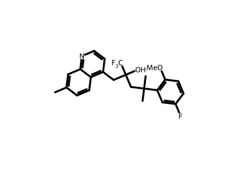 COc1ccc(F)cc1C(C)(C)CC(O)(Cc1ccnc2cc(C)ccc12)C(F)(F)F